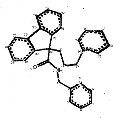 O=C(NCc1ccccn1)C1(CCCc2ccccc2)c2ccccc2-c2ccccc21